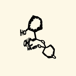 COC1(OC(C=O)c2ccccc2O)CCOCC1